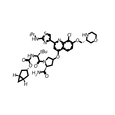 CC(C)Nc1nc(-c2cc(OC3C[C@@H](C(N)=O)N(C(=O)[C@@H](NC(=O)O[C@@H]4C[C@@H]5C[C@@H]5C4)C(C)(C)C)C3)c3ccc(OC[C@H]4COCCN4)c(Cl)c3n2)cs1